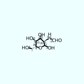 O=CN[C@H]1C(O)O[C@H](CO)[C@@H](O)[C@@H]1O